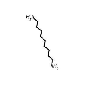 N[CH]CCCCCCC[CH]N